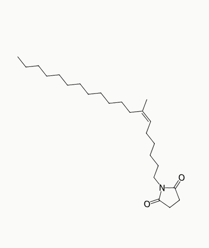 CCCCCCCCCCCCC(C)=CCCCCCN1C(=O)CCC1=O